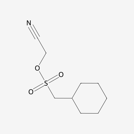 N#CCOS(=O)(=O)CC1CCCCC1